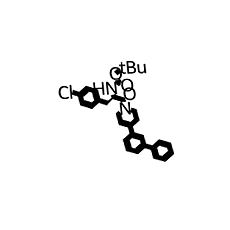 CC(C)(C)OC(=O)N[C@H](Cc1ccc(Cl)cc1)C(=O)N1CC=C(c2cccc(-c3ccccc3)c2)CC1